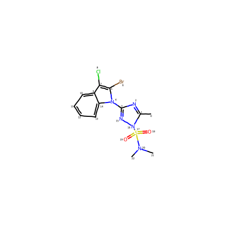 Cc1nc(-n2c(Br)c(Cl)c3ccccc32)nn1S(=O)(=O)N(C)C